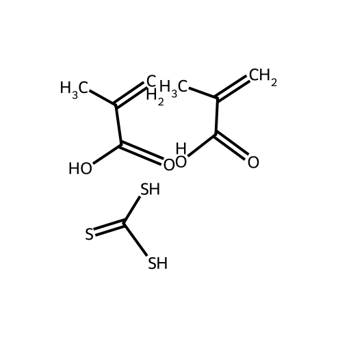 C=C(C)C(=O)O.C=C(C)C(=O)O.S=C(S)S